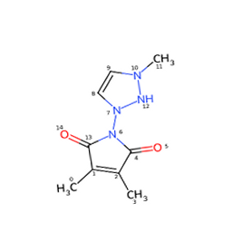 CC1=C(C)C(=O)N(N2C=CN(C)N2)C1=O